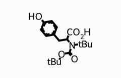 CC(C)(C)OC(=O)N(C(Cc1ccc(O)cc1)C(=O)O)C(C)(C)C